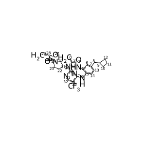 C=CC(=O)Nc1cc(CC2CCC2)ccc1Nc1nc(N[C@@H]2CCN(S(=O)(=O)C=C)C2)ncc1C(F)(F)F